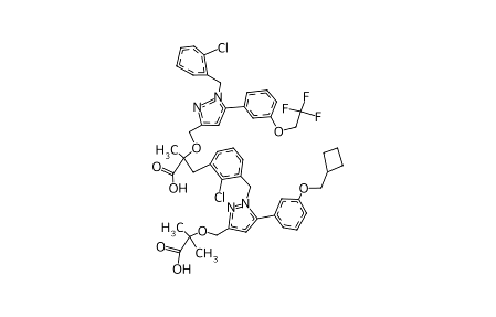 CC(C)(OCc1cc(-c2cccc(OCC3CCC3)c2)n(Cc2cccc(CC(C)(OCc3cc(-c4cccc(OCC(F)(F)F)c4)n(Cc4ccccc4Cl)n3)C(=O)O)c2Cl)n1)C(=O)O